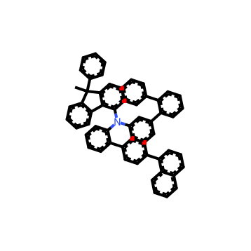 CC1(c2ccccc2)c2ccccc2-c2c(N(c3cccc(-c4ccccc4-c4ccccc4)c3)c3ccccc3-c3ccc(-c4cccc5ccccc45)cc3)cccc21